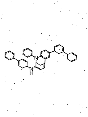 C1=CCC(C2=CC=CC(c3ccc4c(c3)C3=CC=C(NC5C=CC(c6ccccc6)=CC5)C(C3)N4c3ccccc3)C2)C=C1